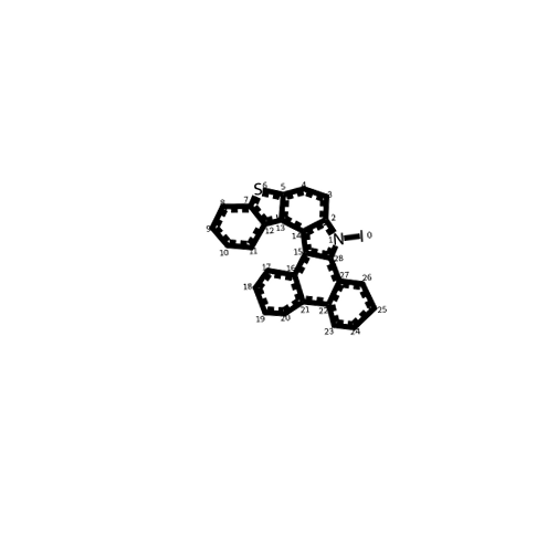 In1c2ccc3sc4ccccc4c3c2c2c3ccccc3c3ccccc3c21